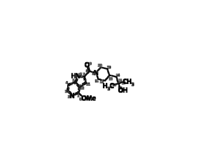 COc1nccc2[nH]c(C(=O)N3CCC(CC(C)(C)O)CC3)cc12